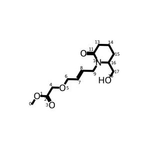 COC(=O)COCC=CCN1C(=O)CCCC1CO